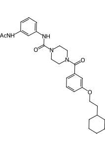 CC(=O)Nc1cccc(NC(=O)N2CCN(C(=O)c3cccc(OCCC4CCCCC4)c3)CC2)c1